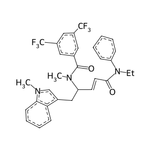 CCN(C(=O)C=CC(Cc1cn(C)c2ccccc12)N(C)C(=O)c1cc(C(F)(F)F)cc(C(F)(F)F)c1)c1ccccc1